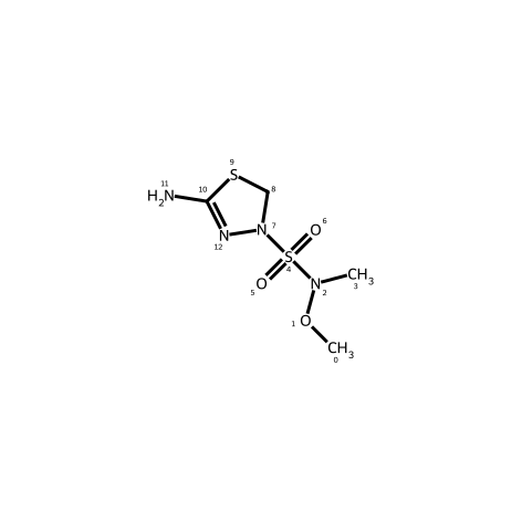 CON(C)S(=O)(=O)N1CSC(N)=N1